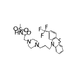 CS(=O)(=O)NC(=O)CN1CCN(CCCN2c3ccccc3Sc3ccc(C(F)(F)F)cc32)CC1